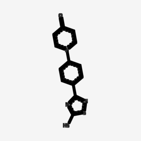 O=c1ccn(-c2ccc(-c3nsc(S)n3)cc2)cc1